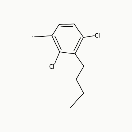 [CH2]c1ccc(Cl)c(CCCC)c1Cl